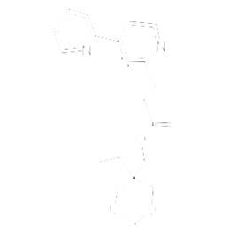 CCC1(COC(=O)CSc2nccc(-c3ccccn3)n2)COCOC1